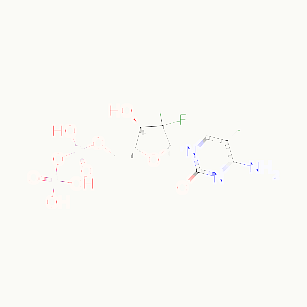 Nc1nc(=O)n([C@@H]2O[C@H](COP(=O)(O)OP(=O)(O)O)[C@@H](O)C2(F)F)cc1F